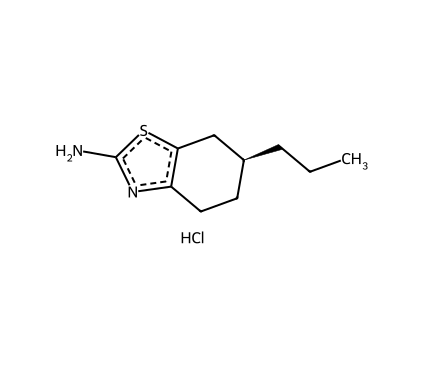 CCC[C@H]1CCc2nc(N)sc2C1.Cl